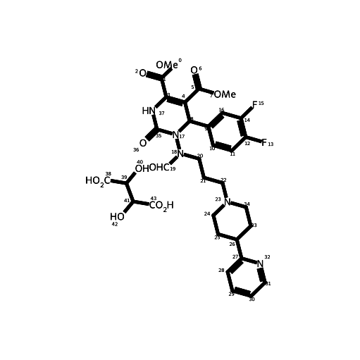 COC(=O)C1=C(C(=O)OC)C(c2ccc(F)c(F)c2)N(N(C=O)CCCN2CCC(c3ccccn3)CC2)C(=O)N1.O=C(O)C(O)C(O)C(=O)O